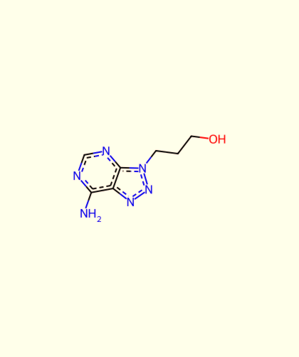 Nc1ncnc2c1nnn2CCCO